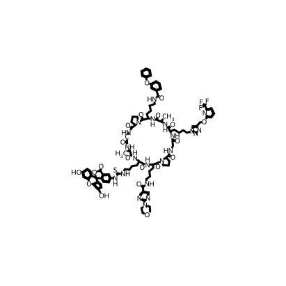 CC1NC(=O)CNC(=O)C2CCCN2C(=O)C(CCCCNC(=O)c2cccc(Oc3ccccc3)c2)NC(=O)C(C)NC(=O)C(CCCCn2cc(COc3cccc(C(F)(F)F)n3)nn2)NC(=O)CNC(=O)C2CCCN2C(=O)C(CCCCNC(=O)c2cnc(N3CCOCC3)nc2)NC(=O)C(CCCCNC(=S)Nc2ccc3c(c2)C(=O)OC32c3ccc(O)cc3Oc3cc(O)ccc32)NC1=O